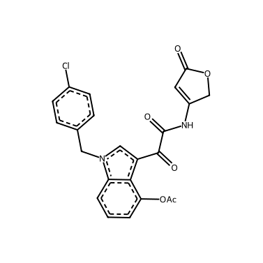 CC(=O)Oc1cccc2c1c(C(=O)C(=O)NC1=CC(=O)OC1)cn2Cc1ccc(Cl)cc1